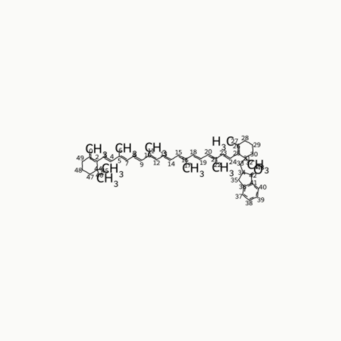 CC1=C(/C=C/C(C)=C/C=C/C(C)=C/C=C/C=C(C)/C=C/C=C(C)/C=C/C2=C(C)CCC[C@]2(C)CC2Cc3ccccc3C2=O)C(C)(C)CCC1